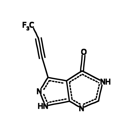 O=c1[nH]cnc2[nH]nc(C#CC(F)(F)F)c12